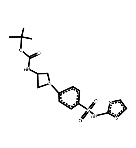 CC(C)(C)OC(=O)NC1CN(c2ccc(S(=O)(=O)Nc3nccs3)cc2)C1